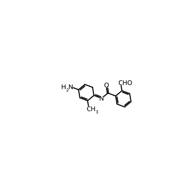 CC1=CC(N)=CCC1=NC(=O)c1ccccc1C=O